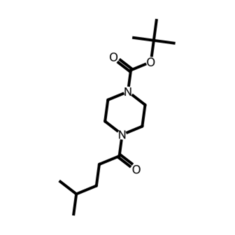 CC(C)CCC(=O)N1CCN(C(=O)OC(C)(C)C)CC1